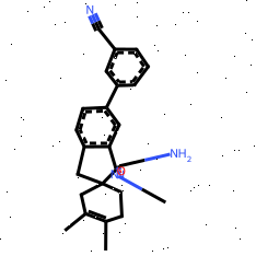 CC1=C(C)CC2(CC1)Cc1ccc(-c3cccc(C#N)c3)cc1C21N=C(N)N(C)O1